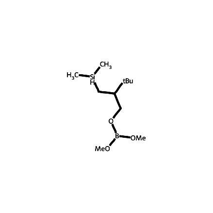 COB(OC)OCC(C[SiH](C)C)C(C)(C)C